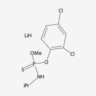 COP(=S)(NC(C)C)Oc1ccc(Cl)cc1Cl.[LiH]